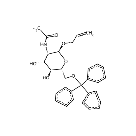 C=CCO[C@H]1O[C@H](COC(c2ccccc2)(c2ccccc2)c2ccccc2)[C@@H](O)[C@H](O)[C@@H]1NC(C)=O